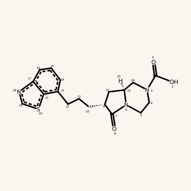 O=C(O)N1CCN2C(=O)[C@H](CCCc3cccc4ncsc34)C[C@H]2C1